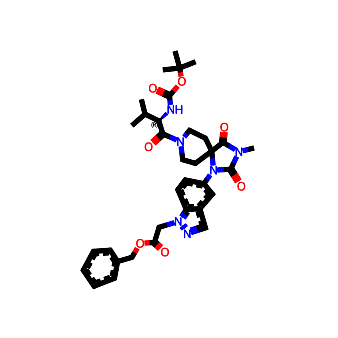 CC(C)[C@@H](NC(=O)OC(C)(C)C)C(=O)N1CCC2(CC1)C(=O)N(C)C(=O)N2c1ccc2c(cnn2CC(=O)OCc2ccccc2)c1